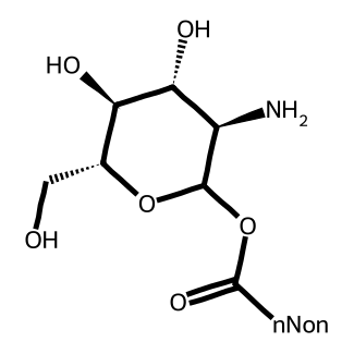 CCCCCCCCCC(=O)OC1O[C@H](CO)[C@@H](O)[C@H](O)[C@H]1N